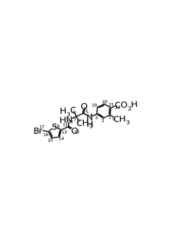 Cc1cc(NC(=O)C(C)(C)NC(=O)c2ccc(Br)s2)ccc1C(=O)O